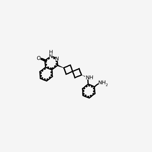 Nc1ccccc1N[C@H]1CC2(C1)C[C@H](c1n[nH]c(=O)c3ccccc31)C2